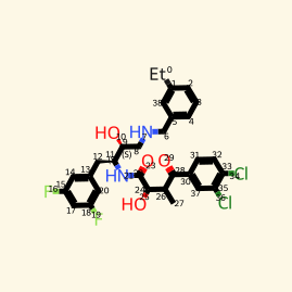 CCc1cccc(CNC[C@H](O)[C@H](Cc2cc(F)cc(F)c2)NC(=O)C(O)C(C)C(=O)c2ccc(Cl)c(Cl)c2)c1